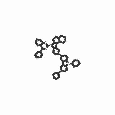 c1ccc(-c2ccc3c(c2)c2cc(-c4ccc5c(c4)c4c6ccccc6ccc4n5-c4nc(-c5ccccc5)c5ccccc5n4)ccc2n3-c2ccccc2)cc1